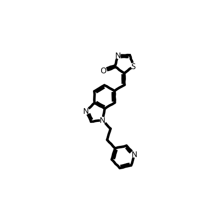 O=C1N=CS/C1=C/c1ccc2ncn(CCc3cccnc3)c2c1